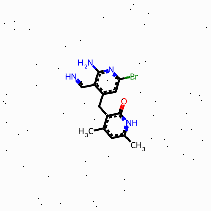 Cc1cc(C)c(Cc2cc(Br)nc(N)c2C=N)c(=O)[nH]1